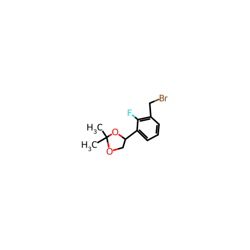 CC1(C)OCC(c2cccc(CBr)c2F)O1